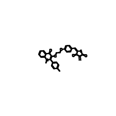 Cc1ccc(-c2c(OCCOc3ccc(C=C4SC(=O)NC4=O)cc3)c(=O)c3ccccc3n2C)cc1